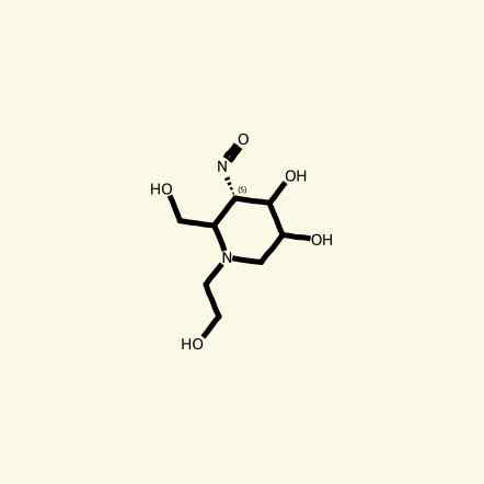 O=N[C@@H]1C(O)C(O)CN(CCO)C1CO